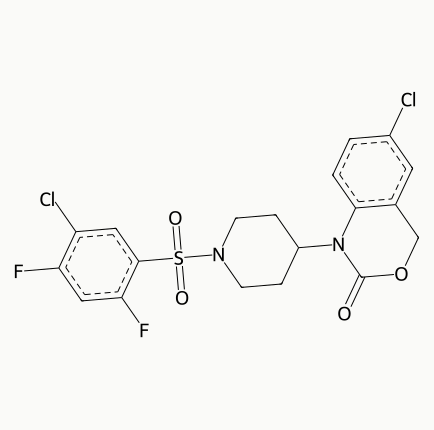 O=C1OCc2cc(Cl)ccc2N1C1CCN(S(=O)(=O)c2cc(Cl)c(F)cc2F)CC1